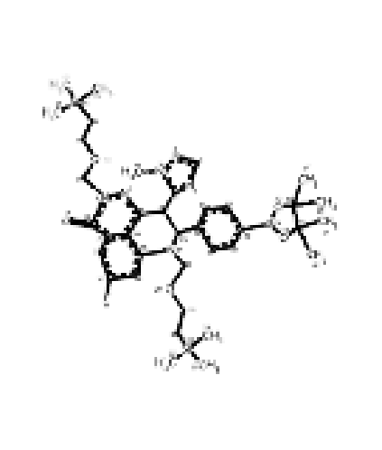 Cn1ncnc1C1c2nn(COCC[Si](C)(C)C)c(=O)c3cc(F)cc(c23)N(COCC[Si](C)(C)C)C1c1ccc(B2OC(C)(C)C(C)(C)O2)cc1